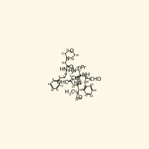 CCCC(NC[C@H](CCc1ccccc1)NC(=O)CN1CCOCC1)C(=O)NC(C=O)[C@@H](NC(C[C@H](C)C=O)C[C@]1(C)CO1)c1ccccc1